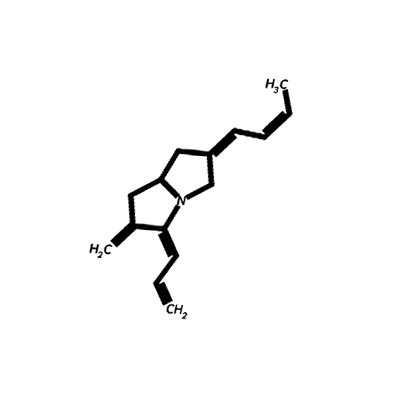 C=C/C=C1\C(=C)CC2C/C(=C/C=C\C)CN12